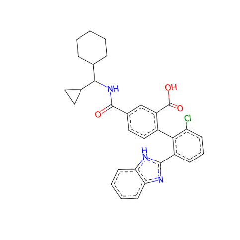 O=C(NC(C1CCCCC1)C1CC1)c1ccc(-c2c(Cl)cccc2-c2nc3ccccc3[nH]2)c(C(=O)O)c1